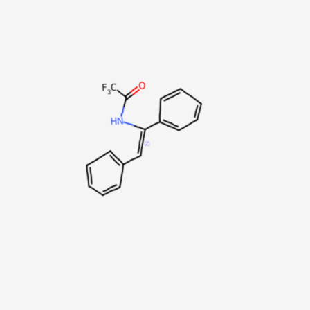 O=C(N/C(=C\c1ccccc1)c1ccccc1)C(F)(F)F